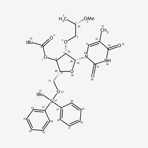 CO[C@@H](C)CO[C@H]1C(OC(=O)C(C)(C)C)[C@@H](CO[Si](c2ccccc2)(c2ccccc2)C(C)(C)C)O[C@H]1n1cc(C)c(=O)[nH]c1=O